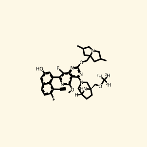 [2H]C([2H])([2H])OC[C@]12CC[C@H](CN(c3nc(OCC45CC(C)CN4CC(C)C5)nc4c(F)c(-c5cc(O)cc6ccc(F)c(C#C)c56)nc(OC)c34)C1)N2